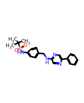 CC(C)(C)S(=O)(=O)Nc1ccc(CNc2cnc(-c3ccccc3)cn2)cc1